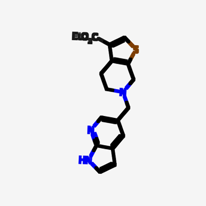 CCOC(=O)c1csc2c1CCN(Cc1cnc3[nH]ccc3c1)C2